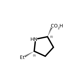 CC[C@H]1CC[C@@H](C(=O)O)N1